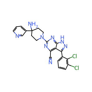 N#Cc1nc(N2CCC(N)(c3cccnc3)CC2)nc2[nH]nc(-c3cccc(Cl)c3Cl)c12